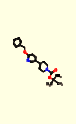 CC(C)(C)OC(=O)N1CC=C(c2ccc(OCc3ccccc3)nc2)CC1